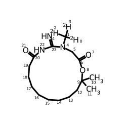 [2H]C([2H])([2H])N1CC(=O)OC(C)(C)CCCCCCCCC(=O)NC1=N